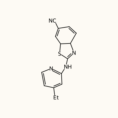 CCc1ccnc(NC2=NC3C=CC(C#N)=CC3S2)c1